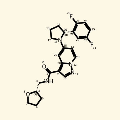 O=C(NC[C@@H]1CCCO1)c1cnn2ccc(N3CCC[C@@H]3c3cc(F)ccc3F)cc12